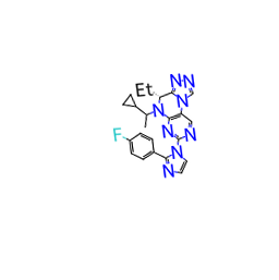 CC[C@@H]1c2nncn2-c2cnc(-n3ccnc3-c3ccc(F)cc3)nc2N1C(C)C1CC1